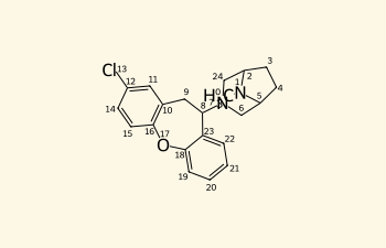 CN1C2CCC1CN(C1Cc3cc(Cl)ccc3Oc3ccccc31)C2